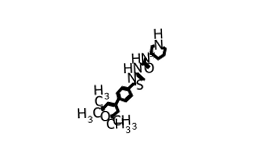 CC1(C)C=C(c2ccc(-c3nc(NC(=O)N[C@H]4CCCNC4)cs3)cc2)CC(C)(C)O1